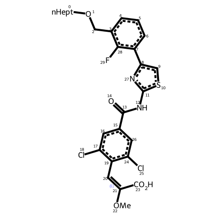 CCCCCCCOCc1cccc(-c2csc(NC(=O)c3cc(Cl)c(/C=C(/OC)C(=O)O)c(Cl)c3)n2)c1F